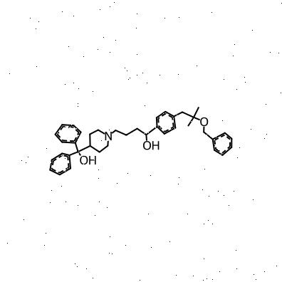 CC(C)(Cc1ccc(C(O)CCCN2CCC(C(O)(c3ccccc3)c3ccccc3)CC2)cc1)OCc1ccccc1